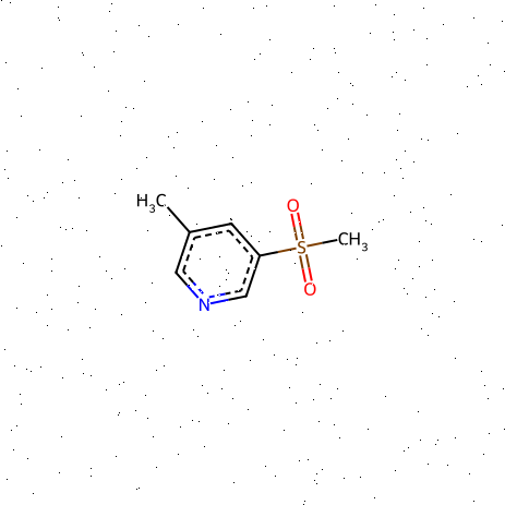 Cc1[c]c(S(C)(=O)=O)cnc1